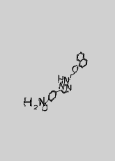 NC(=O)c1ccc(-c2ccnc(NCCCOc3cccc4ccccc34)n2)cc1